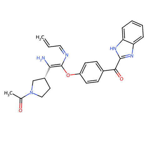 C=C/C=N\C(Oc1ccc(C(=O)c2nc3ccccc3[nH]2)cc1)=C(/N)[C@@H]1CCN(C(C)=O)C1